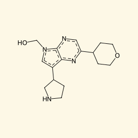 OCn1cc(C2CCNC2)c2nc(C3CCOCC3)cnc21